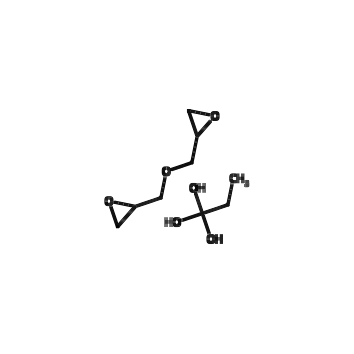 C(OCC1CO1)C1CO1.CCC(O)(O)O